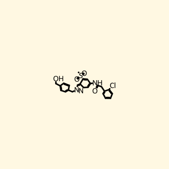 CS(=O)(=O)c1cc(NC(=O)Cc2ccccc2Cl)cc2nn(Cc3ccc(CO)cc3)cc12